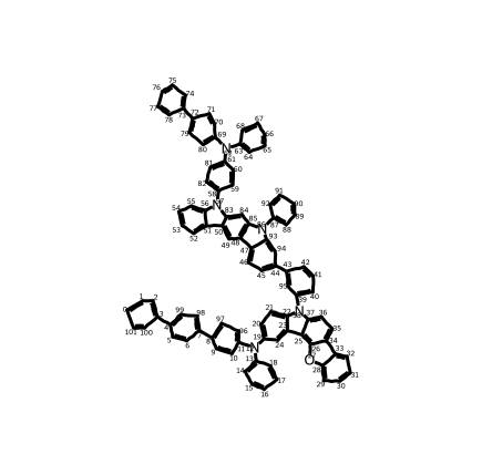 c1ccc(-c2ccc(-c3ccc(N(c4ccccc4)c4ccc5c(c4)c4c6oc7ccccc7c6ccc4n5-c4cccc(-c5ccc6c7cc8c9ccccc9n(-c9ccc(N(c%10ccccc%10)c%10ccc(-c%11ccccc%11)cc%10)cc9)c8cc7n(-c7ccccc7)c6c5)c4)cc3)cc2)cc1